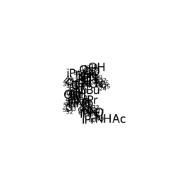 CC[C@H](C)[C@@H](C(=O)N(C)C(=O)N(C)[C@H](C(=O)N[C@H](C(=O)N[C@@H](C)C(=O)N1CCCCC1)[C@@H](C)O)C(C)C)N(C)C(=O)[C@H](Cc1ccccc1)NC(=O)[C@H](Cc1ccccc1)N(C)C(=O)[C@H](CC(C)C)NC(=O)[C@H](CC(C)C)N(C)C(=O)[C@H](C)N(C)C(=O)[C@H](NC(C)=O)C(C)C